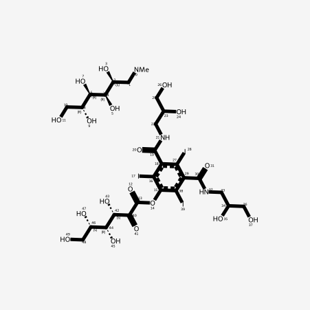 CNC[C@H](O)[C@@H](O)[C@H](O)[C@H](O)CO.O=C(Oc1c(I)c(C(=O)NCC(O)CO)c(I)c(C(=O)NCC(O)CO)c1I)C(=O)[C@@H](O)[C@H](O)[C@@H](O)CO